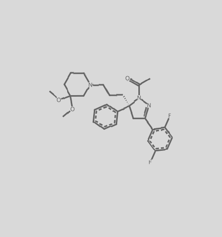 COC1(OC)CCCN(CCC[C@@]2(c3ccccc3)CC(c3cc(F)ccc3F)=NN2C(C)=O)C1